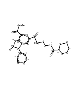 CNC(=O)c1cc(C(=O)NCCOC(=O)N2CCCCC2)cc2c1OC(C)C2c1ccccc1